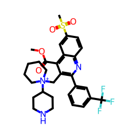 COC(=O)c1c(C[N+]2(C3CCNCC3)CCCCC2)c(-c2cccc(C(F)(F)F)c2)nc2ccc(S(C)(=O)=O)cc12